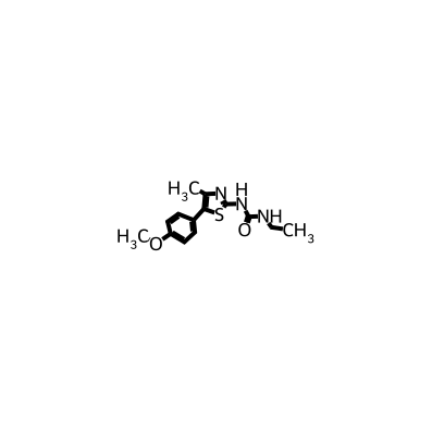 CCNC(=O)Nc1nc(C)c(-c2ccc(OC)cc2)s1